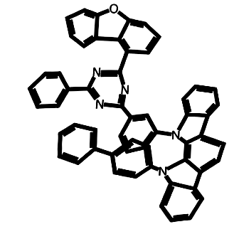 c1ccc(-c2ccc(-n3c4ccccc4c4ccc5c6ccccc6n(-c6cccc(-c7nc(-c8ccccc8)nc(-c8cccc9oc%10ccccc%10c89)n7)c6)c5c43)cc2)cc1